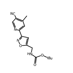 Cc1cc(-c2cc(CNC(=O)OC(C)(C)C)on2)ncc1C#N